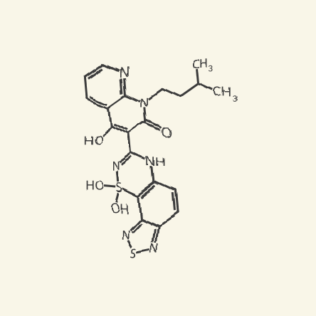 CC(C)CCn1c(=O)c(C2=NS(O)(O)c3c(ccc4nsnc34)N2)c(O)c2cccnc21